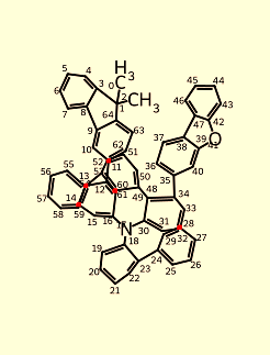 CC1(C)c2ccccc2-c2cc(-c3cccc(N(c4ccccc4-c4ccccc4)c4cccc(-c5ccc6c(c5)oc5ccccc56)c4-c4cccc(-c5ccccc5)c4)c3)ccc21